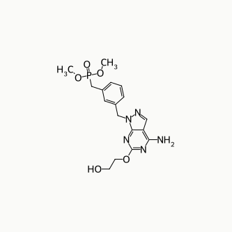 COP(=O)(Cc1cccc(Cn2ncc3c(N)nc(OCCO)nc32)c1)OC